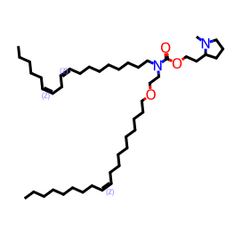 CCCCC/C=C\C/C=C\CCCCCCCCN(CCOCCCCCCCCC/C=C\CCCCCCCC)C(=O)OCCC1CCCN1C